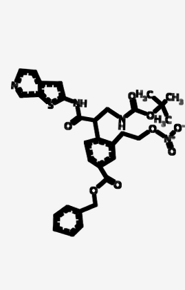 CC(C)(C)OC(=O)NCC(C(=O)Nc1cc2ccncc2s1)c1ccc(C(=O)OCc2ccccc2)cc1CCO[N+](=O)[O-]